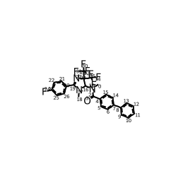 CN(C(=O)c1ccc(-c2ccccc2)cc1)C1N(C)C(c2ccc(F)cc2)=NC1(C(F)(F)F)C(F)(F)F